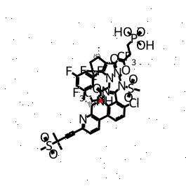 C[C@H]1CC(F)(F)c2c1c(C(F)(F)F)nn2CC(=O)N[C@@H](Cc1cc(F)cc(F)c1)c1nc(C#CC(C)(C)S(C)(=O)=O)ccc1-c1ccc(Cl)c2c(N(COC(=O)CCP(=O)(O)O)S(C)(=O)=O)nn(CC(F)(F)F)c12